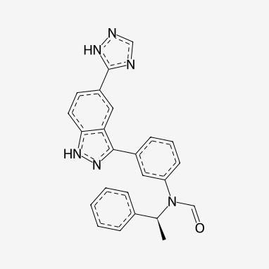 C[C@@H](c1ccccc1)N(C=O)c1cccc(-c2n[nH]c3ccc(-c4ncn[nH]4)cc23)c1